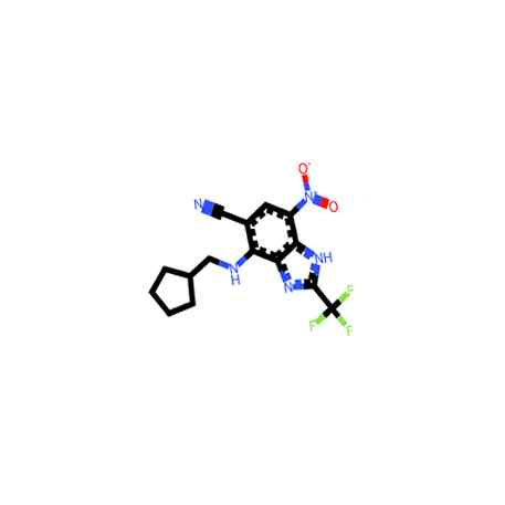 N#Cc1cc([N+](=O)[O-])c2[nH]c(C(F)(F)F)nc2c1NCC1CCCC1